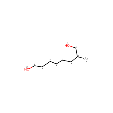 CC(=O)C(CO)CCCCCCO